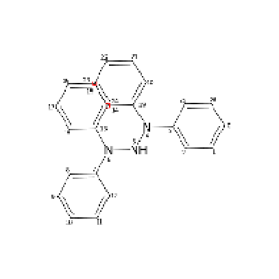 c1ccc(N(NN(c2ccccc2)c2ccccc2)c2ccccc2)cc1